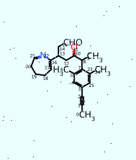 CC#Cc1cc(C)c(C(C)C(=O)CC(CC=O)C2=CCCCC=N2)c(C)c1